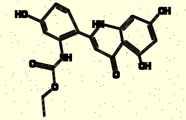 CCOC(=O)Nc1cc(O)ccc1-c1cc(=O)c2c(O)cc(O)cc2[nH]1